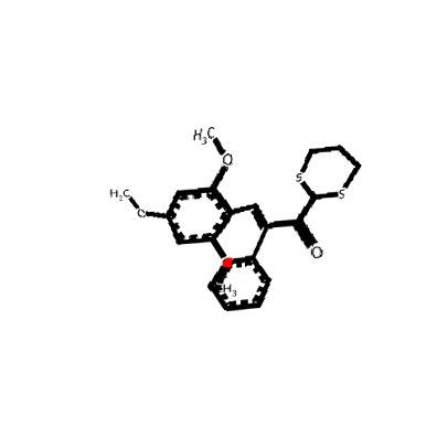 COc1cc(OC)c(/C=C(/C(=O)C2SCCCS2)c2ccccc2)c(OC)c1